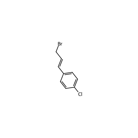 Clc1ccc(C=CCBr)cc1